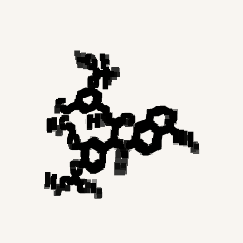 CCOc1cc(C(Nc2ccc3c(N)nccc3c2)C(=O)NCc2cccc(CF)c2)ccc1OC(C)C.O=C(O)C(F)(F)F